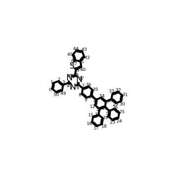 c1ccc(-c2nc(-c3ccc(-c4cc(-c5ccccc5)c(-c5ccccc5)c(-c5ccccc5)c4)cc3)nc(-c3cc4ccccc4s3)n2)cc1